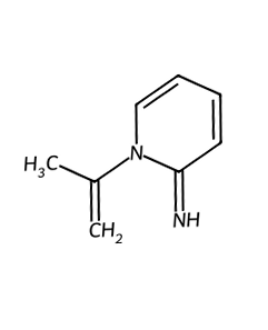 C=C(C)n1ccccc1=N